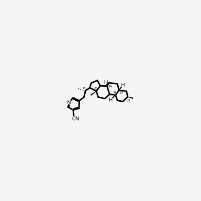 C[C@H]1CC[C@@H]2C3CC[C@@]4(C)C(CCC4[C@@H](C)Cc4cncc(C#N)c4)[C@@H]3CC[C@@H]2C1